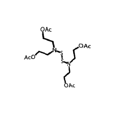 CC(=O)OCCN(CCOC(C)=O)SSN(CCOC(C)=O)CCOC(C)=O